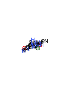 COc1cc2c(cc1Nc1ncc(Cl)c(NC3(C(=O)NCC#N)CC3)n1)CCN(CC(=O)N(C)C)CC2